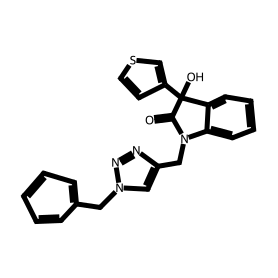 O=C1N(Cc2cn(Cc3ccccc3)nn2)c2ccccc2C1(O)c1ccsc1